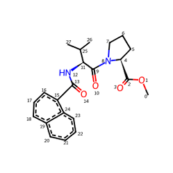 COC(=O)[C@@H]1CCCN1C(=O)[C@@H](NC(=O)c1cccc2ccccc12)C(C)C